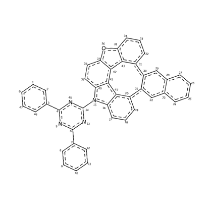 c1ccc(-c2nc(-c3ccccc3)nc(-n3c4cccc5c6cc7ccccc7cc6c6cccc7oc8ccc3c(c8c76)c54)n2)cc1